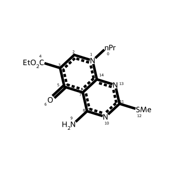 CCCn1cc(C(=O)OCC)c(=O)c2c(N)nc(SC)nc21